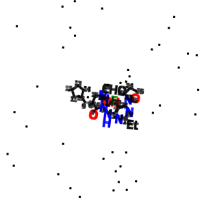 CCc1nc(NNC(=O)[C@H](CC2CCCC2)CN(O)C=O)c(F)c(N2CCCO2)n1